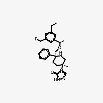 C[C@@H](OC[C@@]1(c2ccccc2)CC[C@](C)(n2cn[nH]c2=O)CN1)c1cc(CF)cc(CF)c1